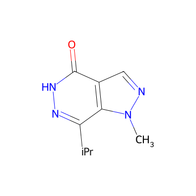 CC(C)c1n[nH]c(=O)c2cnn(C)c12